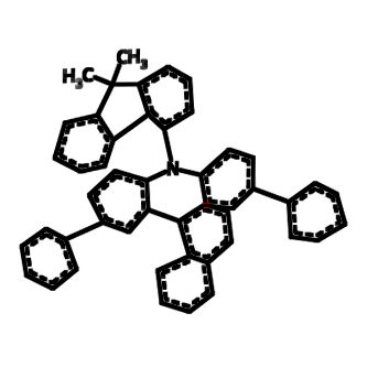 CC1(C)c2ccccc2-c2c(N(c3ccc(-c4ccccc4)cc3)c3ccc(-c4ccccc4)cc3-c3cccc4ccccc34)cccc21